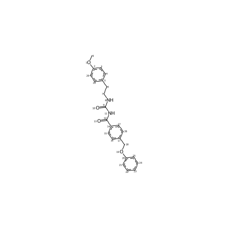 COc1ccc(CCNC(=O)NC(=O)c2ccc(COc3ccccc3)cc2)cc1